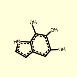 Oc1cc2cc[nH]c2c(O)c1O